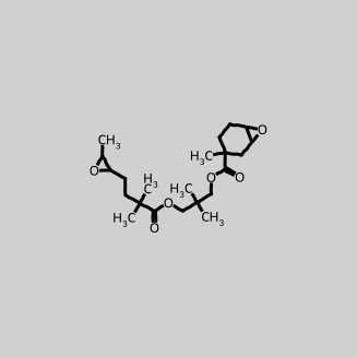 CC1OC1CCC(C)(C)C(=O)OCC(C)(C)COC(=O)C1(C)CCC2OC2C1